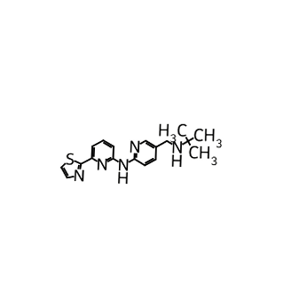 CC(C)(C)NCc1ccc(Nc2cccc(-c3nccs3)n2)nc1